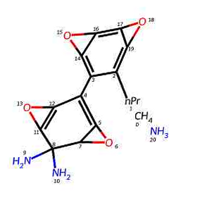 C.CCCc1c(C2=C3OC3C(N)(N)C3=C2O3)c2oc2c2oc12.N